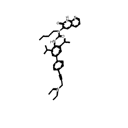 CCCCN(C(=O)Nc1c(C(C)C)cc(-c2ccc(C#CCN(CC)CC)cc2)cc1C(C)C)c1cc2cccnc2[nH]c1=O